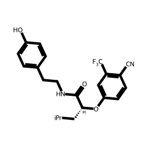 CC(C)C[C@@H](Oc1ccc(C#N)c(C(F)(F)F)c1)C(=O)NCCc1ccc(O)cc1